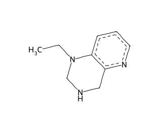 CCN1CNCc2ncccc21